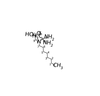 CCCCCCCCN(CC(=O)O)C(C)(N)N